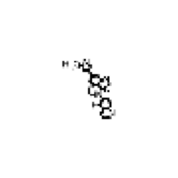 Cn1cc(-c2cc(F)c3c(Nc4ccc5ncccc5c4F)ncnc3c2)cn1